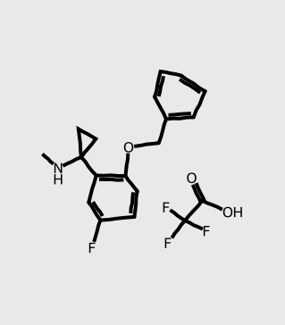 CNC1(c2cc(F)ccc2OCc2ccccc2)CC1.O=C(O)C(F)(F)F